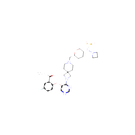 COC(=O)c1cc(F)ccc1Oc1cncnc1N1CC2(CCN(C[C@@H]3CC[C@@H](N(N4CCC4)[SH](=O)=O)CO3)CC2)C1